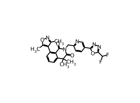 Cc1noc(C)c1-c1cccc2c1C(=O)N(Cc1ccc(-c3nnc(C(F)F)o3)cn1)C(=O)C2(C)C